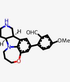 COc1ccc(-c2cc3c4c(c2)[C@@H]2CNCC[C@@H]2N4CCCO3)c(C=O)c1